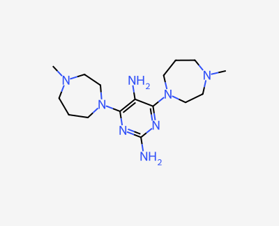 CN1CCCN(c2nc(N)nc(N3CCCN(C)CC3)c2N)CC1